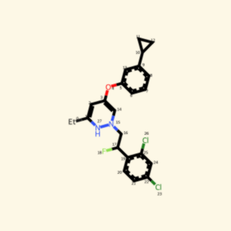 CCC1=CC(Oc2cccc(C3CC3)c2)=CN(CC(F)c2ccc(Cl)cc2Cl)N1